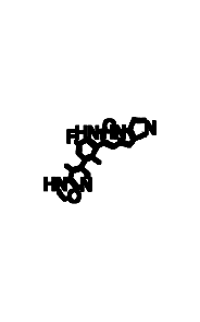 Cc1c(-c2cc(F)c3c(c2C)/C(=C/c2cc4cnccc4[nH]2)C(=O)N3)cnc2c1NCCO2